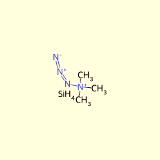 C[N+](C)(C)N=[N+]=[N-].[SiH4]